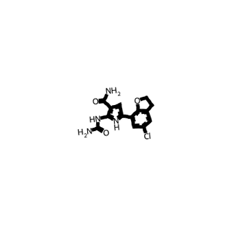 NC(=O)Nc1[nH]c(-c2cc(Cl)cc3c2OCC3)cc1C(N)=O